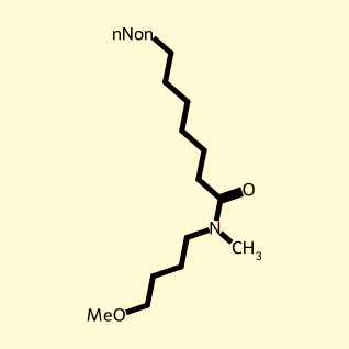 CCCCCCCCCCCCCCCC(=O)N(C)CCCCOC